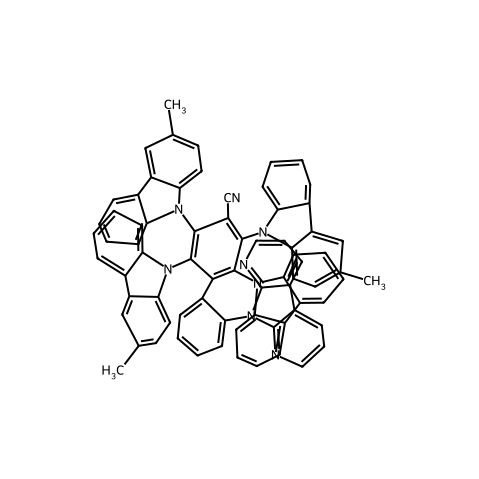 Cc1ccc2c(c1)c1ccccc1n2-c1c(C#N)c(-n2c3ccccc3c3cc(C)ccc32)c(-n2c3ccccc3c3cc(C)ccc32)c(-c2ccccc2-n2c3ncccc3c3cccnc32)c1-n1c2ccccc2c2ccccc21